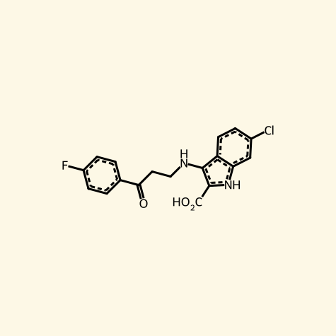 O=C(CCNc1c(C(=O)O)[nH]c2cc(Cl)ccc12)c1ccc(F)cc1